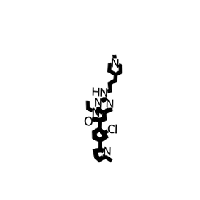 CCn1c(=O)c(-c2ccc(-c3cccc(C)n3)cc2Cl)cc2cnc(NCCCC3CCN(C)CC3)nc21